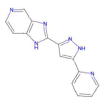 c1ccc(-c2cc(-c3nc4cnccc4[nH]3)n[nH]2)nc1